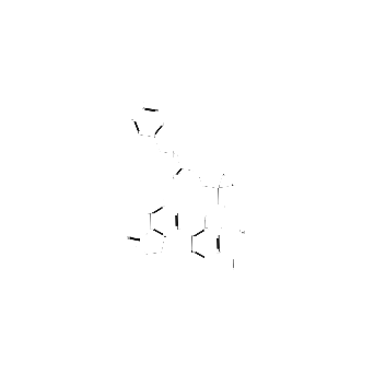 CCc1ccc(-c2cccc3c2CCC3=O)c(OCC2(COC(=O)NCc3ccccc3)CC2)c1OC